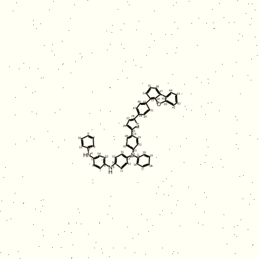 c1ccc(Nc2ccc(Nc3ccc(N(c4ccccc4)c4ccc(-c5ccc(-c6ccc(-c7cccc8c7oc7ccccc78)cc6)s5)cc4)cc3)cc2)cc1